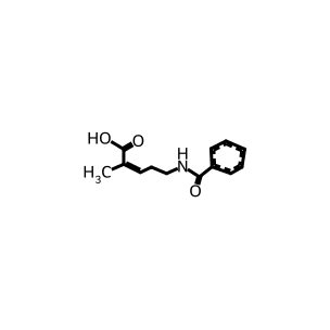 CC(=CCCNC(=O)c1ccccc1)C(=O)O